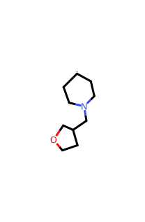 [CH]1CCN(CC2CCOC2)CC1